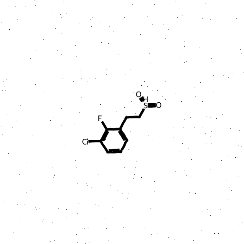 O=[SH](=O)CCc1cccc(Cl)c1F